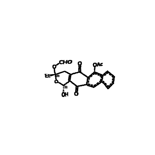 CC[C@@]1(OC=O)CC2=C(C(=O)c3cc4ccccc4c(OC(C)=O)c3C2=O)[C@H](O)O1